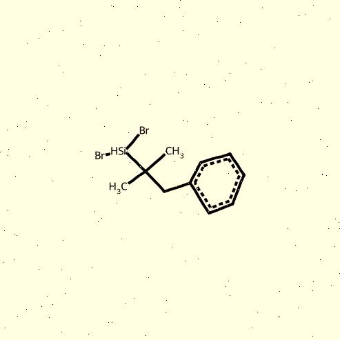 CC(C)(Cc1ccccc1)[SiH](Br)Br